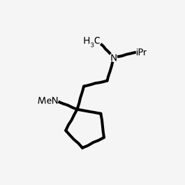 CNC1(CCN(C)C(C)C)CCCC1